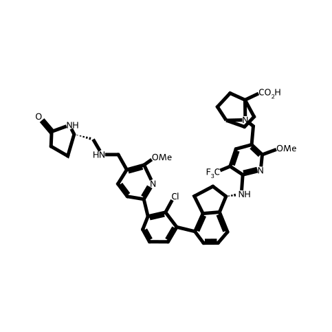 COc1nc(-c2cccc(-c3cccc4c3CC[C@@H]4Nc3nc(OC)c(CN4C5CCC4(C(=O)O)CC5)cc3C(F)(F)F)c2Cl)ccc1CNC[C@@H]1CCC(=O)N1